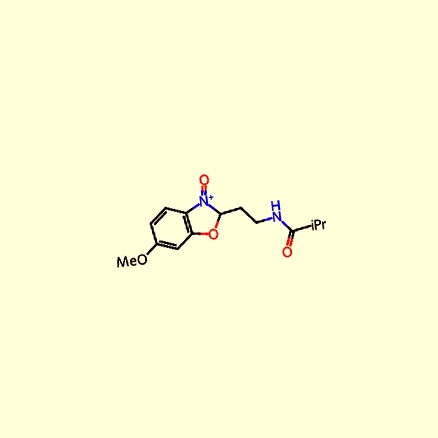 COc1ccc2c(c1)OC(CCNC(=O)C(C)C)[N+]2=O